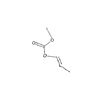 CC=COC(=O)OI